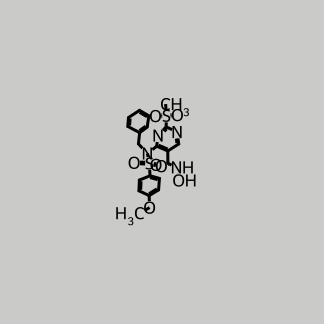 COc1ccc(S(=O)(=O)N(Cc2ccccc2)c2nc(S(C)(=O)=O)ncc2C(=O)NO)cc1